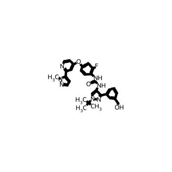 Cn1nccc1-c1cc(Oc2ccc(NC(=O)Nc3cn(C(C)(C)C)nc3-c3cccc(CO)c3)c(F)c2)ccn1